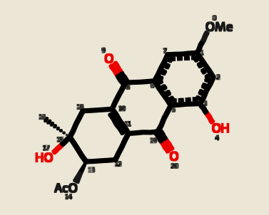 COc1cc(O)c2c(c1)C(=O)C1=C(C[C@@H](OC(C)=O)[C@@](C)(O)C1)C2=O